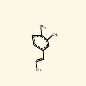 Cc1cc(/C=N/O)ccc1[N+](=O)[O-]